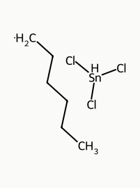 [CH2]CCCCC.[Cl][SnH]([Cl])[Cl]